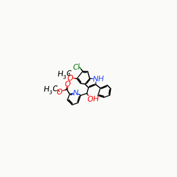 COC(=O)c1cccc(C(O)c2c(-c3ccccc3)[nH]c3cc(Cl)c(OC)cc23)n1